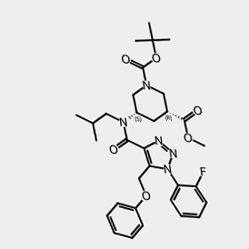 COC(=O)[C@@H]1C[C@H](N(CC(C)C)C(=O)c2nnn(-c3ccccc3F)c2COc2ccccc2)CN(C(=O)OC(C)(C)C)C1